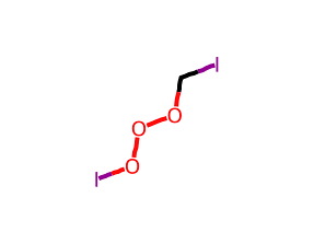 ICOOOI